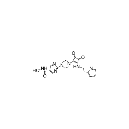 O=C(NO)c1cnc(N2CCN(c3c(NCCc4ccccn4)c(=O)c3=O)CC2)nc1